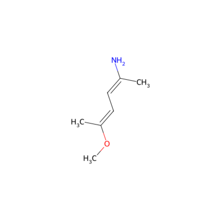 CO/C(C)=C/C=C(\C)N